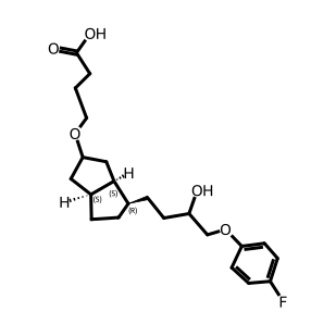 O=C(O)CCCOC1C[C@@H]2CC[C@H](CCC(O)COc3ccc(F)cc3)[C@@H]2C1